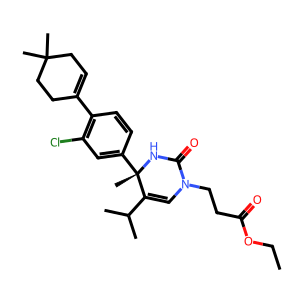 CCOC(=O)CCN1C=C(C(C)C)[C@](C)(c2ccc(C3=CCC(C)(C)CC3)c(Cl)c2)NC1=O